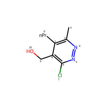 CCCc1c(C)nnc(Cl)c1CO